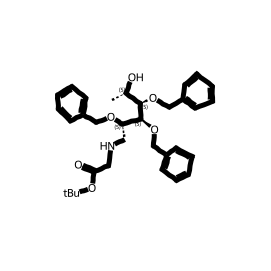 C[C@H](O)[C@H](OCc1ccccc1)[C@@H](OCc1ccccc1)[C@H](CNCC(=O)OC(C)(C)C)OCc1ccccc1